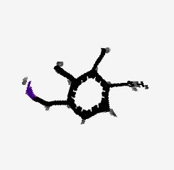 Cc1c([SiH3])ccc(CI)c1C